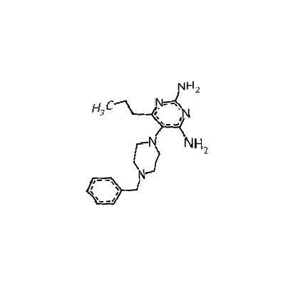 CCCc1nc(N)nc(N)c1N1CCN(Cc2ccccc2)CC1